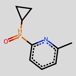 Cc1cccc([PH](=O)C2CC2)n1